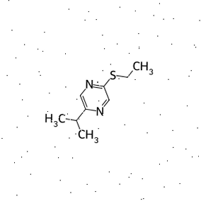 CCSc1cnc(C(C)C)cn1